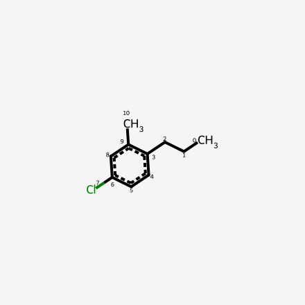 CCCc1ccc(Cl)cc1C